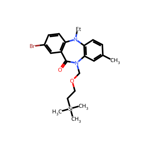 CCN1c2ccc(Br)cc2C(=O)N(COCC[Si](C)(C)C)c2cc(C)ccc21